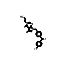 Cc1cn(Cc2ccc(C(=O)c3ccc(Cl)cc3)cc2)c2ncn(CCO)c(=O)c12